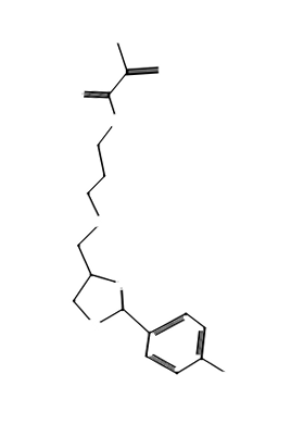 C=C(C)C(=O)SCCCSCC1CSC(c2ccc(Br)cc2)S1